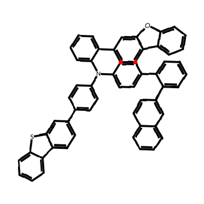 c1ccc(-c2ccc3ccccc3c2)c(-c2ccc(N(c3ccc(-c4ccc5c(c4)sc4ccccc45)cc3)c3ccccc3-c3ccc4c(c3)oc3ccccc34)cc2)c1